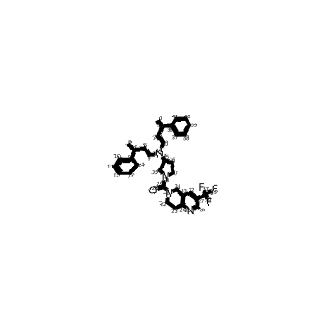 CC(CCN(CCC(C)c1ccccc1)C1CCN(C(=O)N2CCc3ncc(C(F)(F)F)cc3C2)C1)c1ccccc1